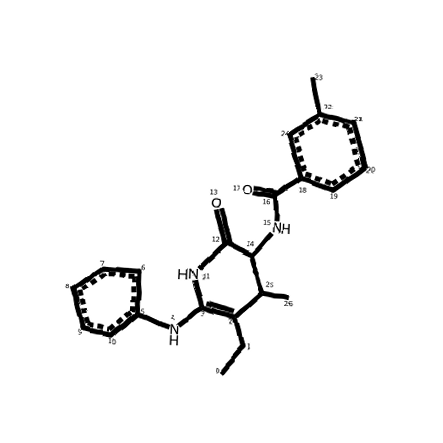 CCC1=C(Nc2ccccc2)NC(=O)C(NC(=O)c2cccc(C)c2)C1C